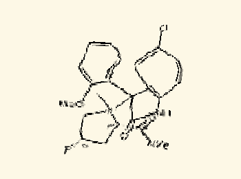 CNC(=O)[C@@H]1C[C@H](F)C[N+]1(C)C1(c2ccccc2OC)C(=O)Nc2ccc(Cl)cc21